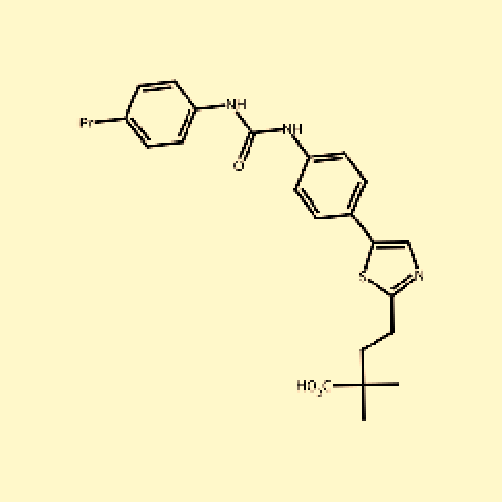 CC(C)c1ccc(NC(=O)Nc2ccc(-c3cnc(CCC(C)(C)C(=O)O)s3)cc2)cc1